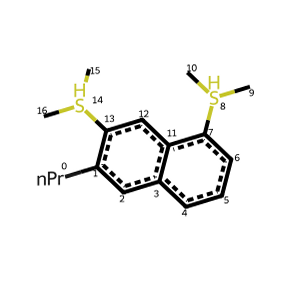 CCCc1cc2cccc([SH](C)C)c2cc1[SH](C)C